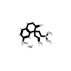 Br.C=CCC1(CCN(C)C)C(=O)CCc2ccc(OC)cc21